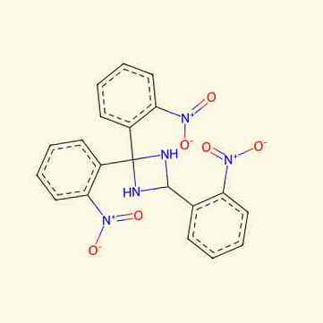 O=[N+]([O-])c1ccccc1C1NC(c2ccccc2[N+](=O)[O-])(c2ccccc2[N+](=O)[O-])N1